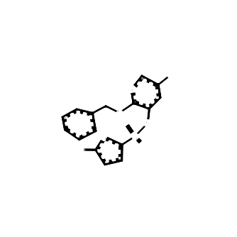 O=S(=O)(Nc1cc(Cl)cnc1SCc1ccccc1)c1ccc(Cl)s1